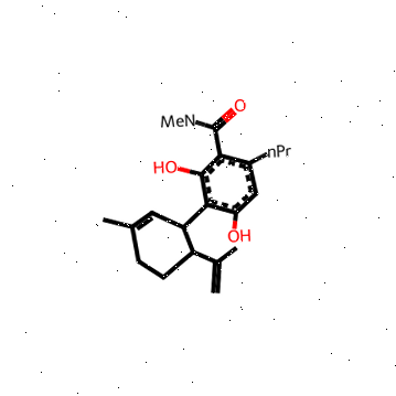 C=C(C)C1CCC(C)=CC1c1c(O)cc(CCC)c(C(=O)NC)c1O